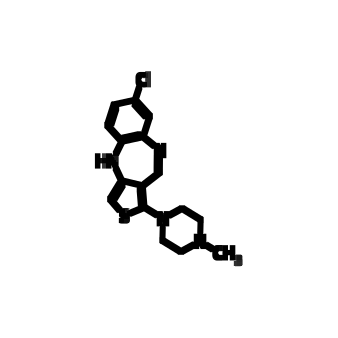 CN1CCN(c2scc3c2C=Nc2cc(Cl)ccc2N3)CC1